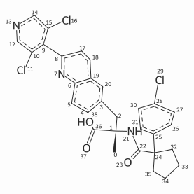 C[C@@](Cc1ccc2nc(-c3c(Cl)cncc3Cl)ccc2c1)(NC(=O)C1(c2ccc(Cl)cc2)CCCC1)C(=O)O